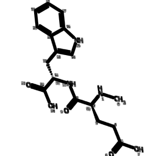 CN[C@@H](CCC(=O)O)C(=O)N[C@@H](Cc1c[nH]c2ccccc12)C(=O)O